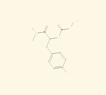 CC(C)N(C)C(=O)C(Cc1ccc(C=O)cc1)NC(=O)OC(C)(C)C